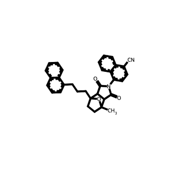 CC12CCC(CCCc3cccc4ccccc34)(O1)C1C(=O)N(c3ccc(C#N)c4ccccc34)C(=O)C12